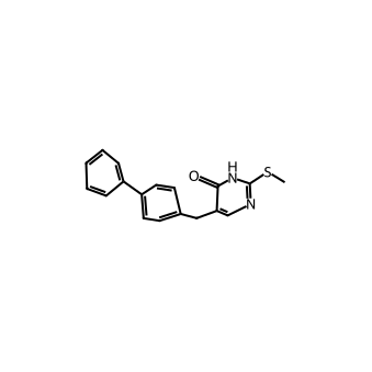 CSc1ncc(Cc2ccc(-c3ccccc3)cc2)c(=O)[nH]1